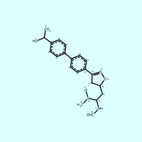 CC(O)c1ccc(-c2ccc(C3=NOC(CC(NC=O)[S+](C)[O-])C3)cc2)cc1